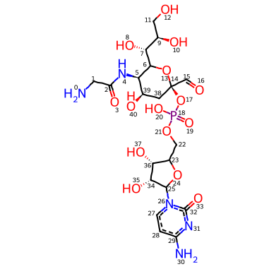 NCC(=O)N[C@H]1C([C@H](O)[C@H](O)CO)O[C@@](C=O)(OP(=O)(O)OCC2OC(n3ccc(N)nc3=O)[C@H](O)[C@@H]2O)C[C@H]1O